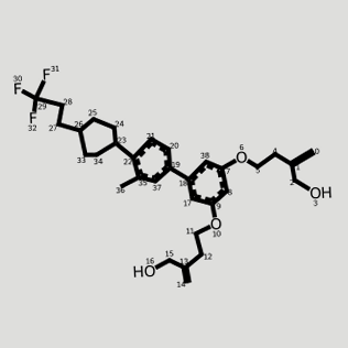 C=C(CO)CCOc1cc(OCCC(=C)CO)cc(-c2ccc(C3CCC(CCC(F)(F)F)CC3)c(C)c2)c1